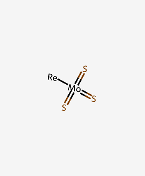 [S]=[Mo](=[S])(=[S])[Re]